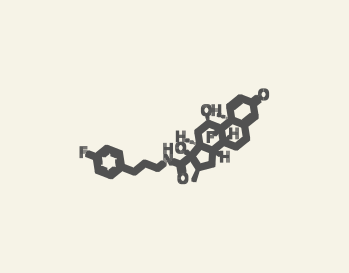 C[C@@H]1C[C@H]2[C@@H]3CCC4=CC(=O)C=C[C@]4(C)[C@@]3(F)[C@@H](O)C[C@]2(C)[C@@]1(O)C(=O)NCCCc1ccc(F)cc1